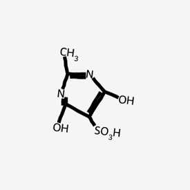 Cc1nc(O)c(S(=O)(=O)O)c(O)n1